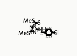 CSC(=S)n1nc(SC)nc1NCc1ccc(Cl)cc1